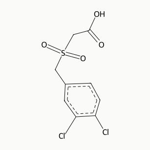 O=C(O)CS(=O)(=O)Cc1ccc(Cl)c(Cl)c1